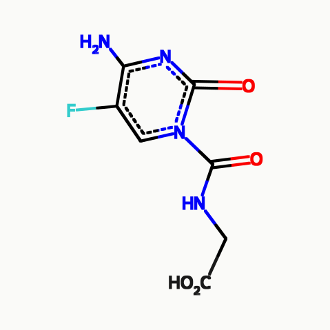 Nc1nc(=O)n(C(=O)NCC(=O)O)cc1F